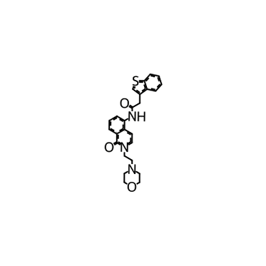 O=C(Cc1csc2ccccc12)Nc1cccc2c(=O)n(CCN3CCOCC3)ccc12